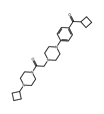 O=C(c1ccc(N2CCN(CC(=O)N3CCN(C4CCC4)CC3)CC2)cc1)C1CCC1